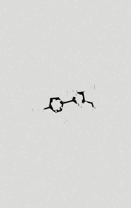 Cc1[nH]c(-c2ccc(C(C)(C)C)cc2)nc1CCl.Cl